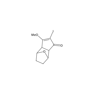 COC1=C(I)C(=O)C2C3CCC(O3)C12